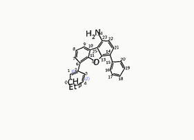 C/C=C(\C=C/CC)c1cccc2c1oc1c(-c3ccccc3)ccc(N)c12